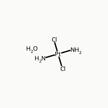 O.[NH2][Pt]([NH2])([Cl])[Cl]